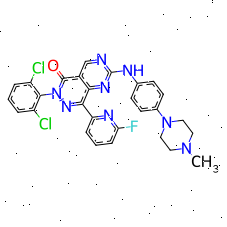 CN1CCN(c2ccc(Nc3ncc4c(=O)n(-c5c(Cl)cccc5Cl)nc(-c5cccc(F)n5)c4n3)cc2)CC1